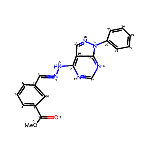 COC(=O)c1cccc(C=NNc2ncnc3c2cnn3-c2ccccc2)c1